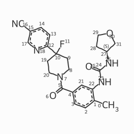 Cc1ccc(C(=O)N2CCC(F)(c3ccc(C#N)cn3)CC2)cc1NC(=O)N[C@H]1CCOC1